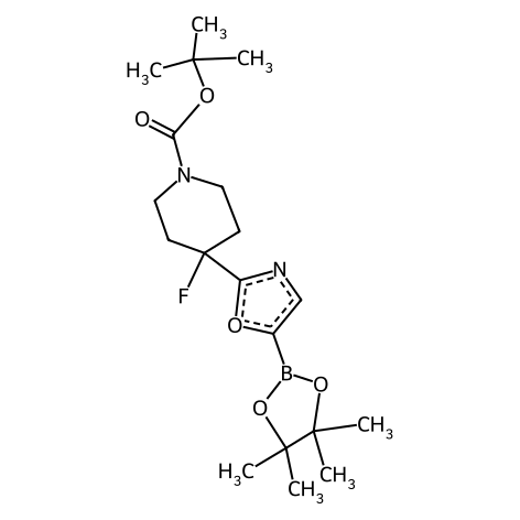 CC(C)(C)OC(=O)N1CCC(F)(c2ncc(B3OC(C)(C)C(C)(C)O3)o2)CC1